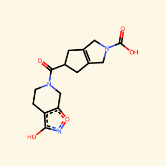 O=C(O)N1CC2=C(CC(C(=O)N3CCc4c(O)noc4C3)C2)C1